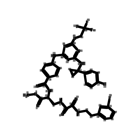 COC(=O)[C@H](CNC(=O)C(=O)NCCc1cccc(F)c1)NC(=O)c1ccc(Nc2nc(NC3(c4ccc(Cl)cc4)CC3)nc(OCC(F)(F)F)n2)cc1